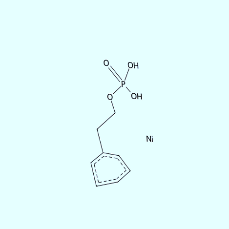 O=P(O)(O)OCCc1ccccc1.[Ni]